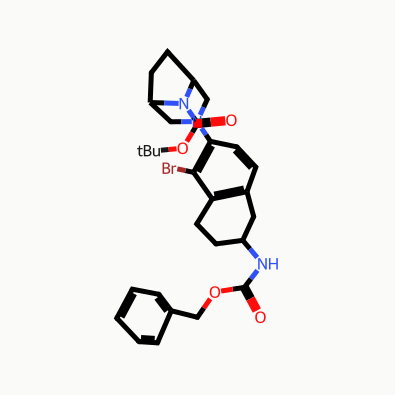 CC(C)(C)OC(=O)N1C2CCC1CN(c1ccc3c(c1Br)CCC(NC(=O)OCc1ccccc1)C3)C2